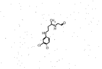 CC(CCNc1ccc(Cl)c(Cl)c1)NCC=O